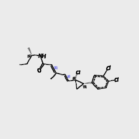 CC[C@H](C)NC(=O)/C=C(C)/C=C/[C@]1(Cl)C[C@H]1c1ccc(Cl)c(Cl)c1